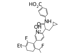 CCC1=C(F)C(c2ccc(C(CC3CC3)C(=O)Nc3ccc(C(=O)O)cc3)[n+](O)c2)=C(C(C)F)CC1